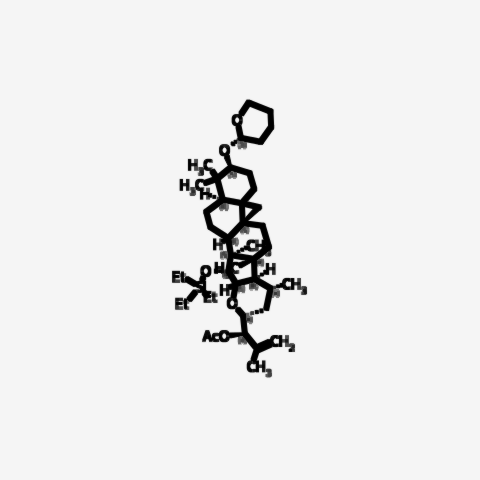 C=C(C)[C@@H](OC(C)=O)[C@H]1C[C@@H](C)[C@H]2[C@H](O1)[C@H](O[Si](CC)(CC)CC)[C@@]1(C)[C@@H]3CC[C@H]4C(C)(C)[C@@H](O[C@H]5CCCCO5)CCC45C[C@@]35CC[C@]21C